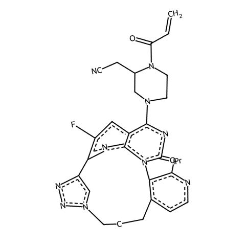 C=CC(=O)N1CCN(c2nc(=O)n3c4nc(c(F)cc24)-c2cn(nn2)CCCc2ccnc(C(C)C)c2-3)CC1CC#N